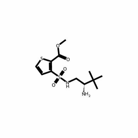 COC(=O)c1sccc1S(=O)(=O)NC[C@@H](N)C(C)(C)C